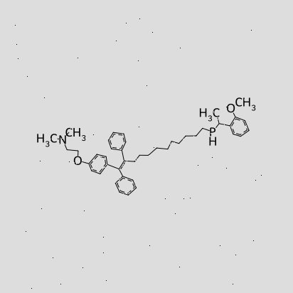 COc1ccccc1C(C)PCCCCCCCCCC/C(=C(\c1ccccc1)c1ccc(OCCN(C)C)cc1)c1ccccc1